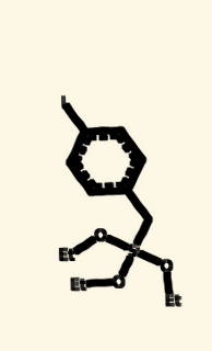 CCO[Si](Cc1ccc(I)cc1)(OCC)OCC